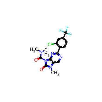 CN(C)C(=O)n1c(=O)n(C)c2cnc(-c3ccc(C(F)(F)F)cc3Cl)nc21